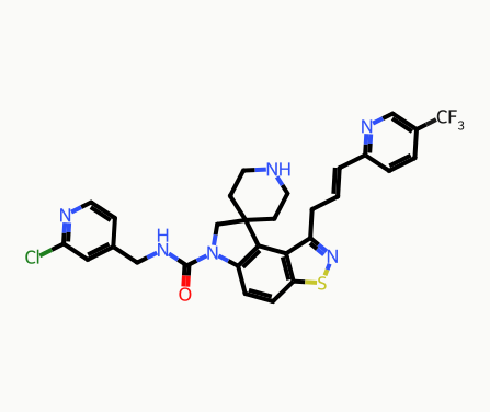 O=C(NCc1ccnc(Cl)c1)N1CC2(CCNCC2)c2c1ccc1snc(C/C=C/c3ccc(C(F)(F)F)cn3)c21